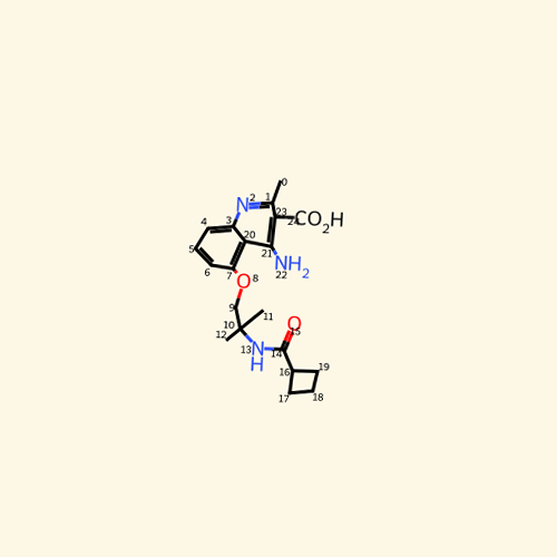 Cc1nc2cccc(OCC(C)(C)NC(=O)C3CCC3)c2c(N)c1C(=O)O